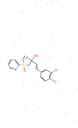 O=S(=O)(CC(O)(/C=C/c1ccc(Cl)c(Cl)c1)C(F)(F)F)c1ccccn1